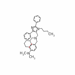 CCCCn1c(-c2ccccc2)nc(-c2ccccc2)c1CN(Cc1ccc(N(C)C)cc1)CC1CCCCC1